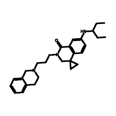 CCC(CC)Nc1ccc2c(c1)C(=O)N(CCCN1CCc3ccccc3C1)CC21CC1